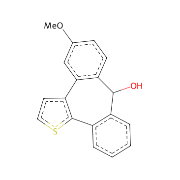 COc1ccc2c(c1)-c1ccsc1-c1ccccc1C2O